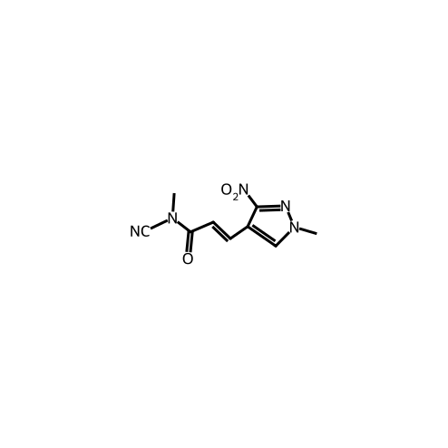 CN(C#N)C(=O)C=Cc1cn(C)nc1[N+](=O)[O-]